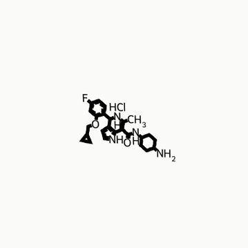 CC1=C(C(=O)NC2CCC(N)CC2)c2[nH]ccc2C(c2ccc(F)cc2OCC2CC2)N1.Cl